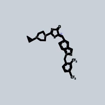 O=C1N=C(N2CCN(C3CC3)CC2)S/C1=C\c1ccc2c(cnn2Cc2ccc(C(F)(F)F)cc2C(F)(F)F)c1